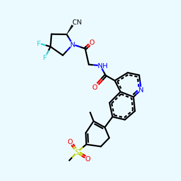 CC1=C(c2ccc3nccc(C(=O)NCC(=O)N4CC(F)(F)C[C@H]4C#N)c3c2)CCC(S(C)(=O)=O)=C1